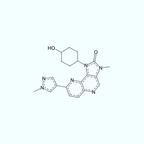 Cn1cc(-c2ccc3ncc4c(c3n2)n(C2CCC(O)CC2)c(=O)n4C)cn1